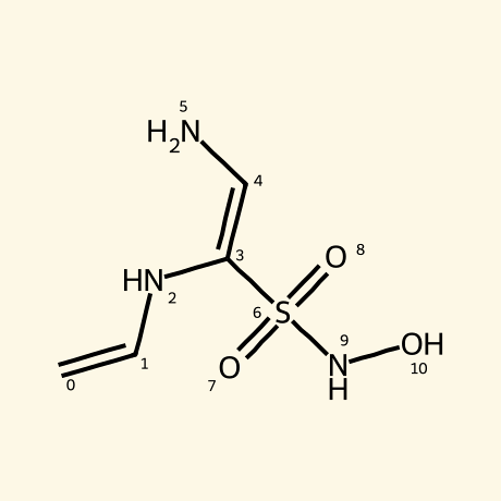 C=CN/C(=C\N)S(=O)(=O)NO